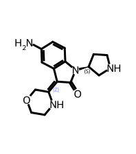 Nc1ccc2c(c1)/C(=C1\COCCN1)C(=O)N2[C@H]1CCNC1